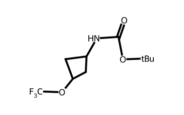 CC(C)(C)OC(=O)NC1CC(OC(F)(F)F)C1